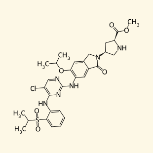 COC(=O)[C@@H]1C[C@H](N2Cc3cc(OC(C)C)c(Nc4ncc(Cl)c(Nc5ccccc5S(=O)(=O)C(C)C)n4)cc3C2=O)CN1